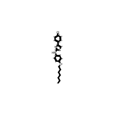 CCCCCCCOc1ccc(Nc2nc(-c3ccc(Cl)cc3)cs2)cc1